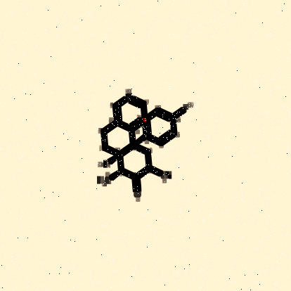 C[C@@H]1C(=O)C(C#N)C[C@@]2(c3ccc(F)cc3)c3ncncc3CC[C@@H]12